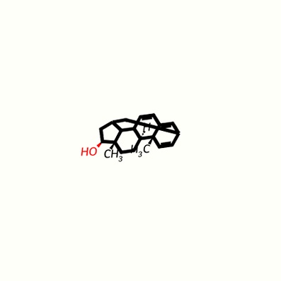 C[C@]12C=CC3C=C1C=CC1C4C(C3)C[C@H](O)[C@@]4(C)CC[C@@H]12